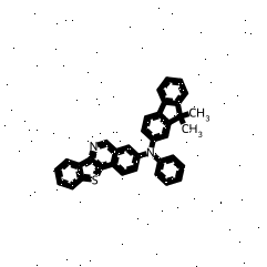 CC1(C)c2ccccc2-c2ccc(N(c3ccccc3)c3ccc4c(cnc5c6ccccc6sc45)c3)cc21